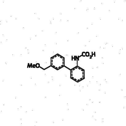 COCc1cccc(-c2ccccc2NC(=O)O)c1